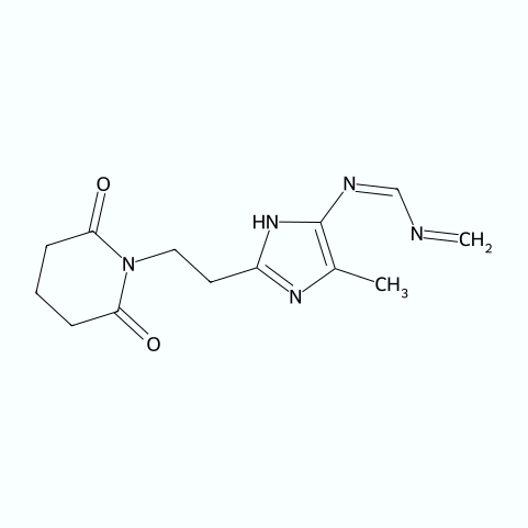 C=N/C=N\c1[nH]c(CCN2C(=O)CCCC2=O)nc1C